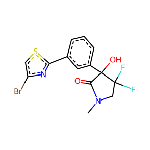 CN1CC(F)(F)C(O)(c2cccc(-c3nc(Br)cs3)c2)C1=O